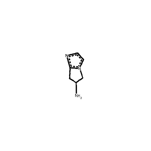 NC1Cc2nccn2C1